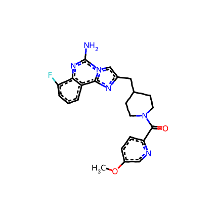 COc1ccc(C(=O)N2CCC(Cc3cn4c(N)nc5c(F)cccc5c4n3)CC2)nc1